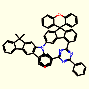 CC1(C)c2ccccc2-c2cc3c4ccccc4n(-c4ccc5c(c4)-c4c(-c6nc(-c7ccccc7)nc(-c7ccccc7)n6)cccc4C54c5ccccc5Oc5ccccc54)c3cc21